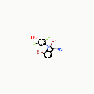 N#Cc1c(Br)n(-c2cc(F)c(O)cc2F)c2c(Br)cccc12